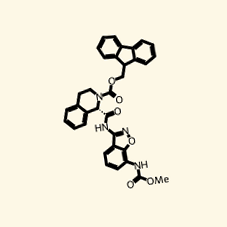 COC(=O)Nc1cccc2c(NC(=O)[C@@H]3c4ccccc4CCN3C(=O)OCC3c4ccccc4-c4ccccc43)noc12